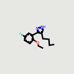 CCCCc1c[nH]nc1-c1cc(F)ccc1OCC